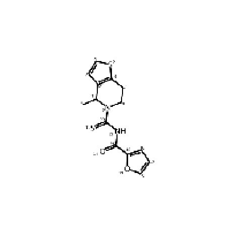 CC1c2ccsc2CCN1C(=S)NC(=O)c1ccco1